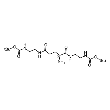 CC(C)(C)OC(=O)NCCNC(=O)CC[C@H](N)C(=O)NCCNC(=O)OC(C)(C)C